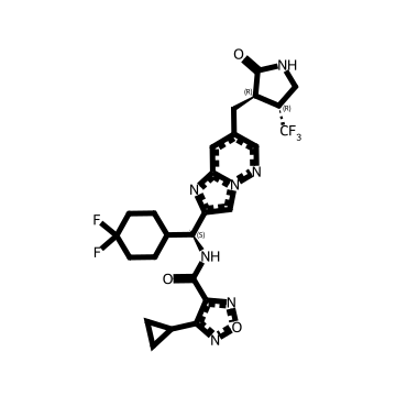 O=C(N[C@H](c1cn2ncc(C[C@H]3C(=O)NC[C@@H]3C(F)(F)F)cc2n1)C1CCC(F)(F)CC1)c1nonc1C1CC1